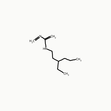 C=NC(=C)NCCC(CC)CCC